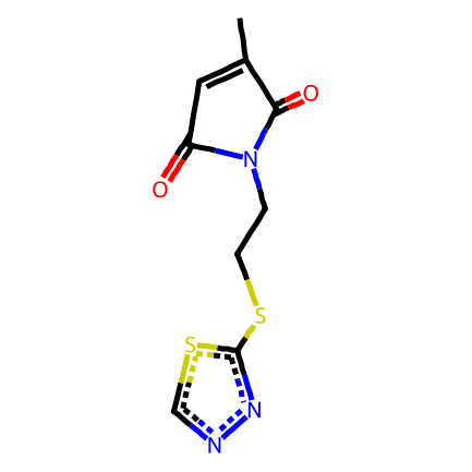 CC1=CC(=O)N(CCSc2nncs2)C1=O